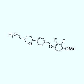 C/C=C/C1CCC(c2ccc(COc3ccc(OC)c(F)c3F)cc2)OC1